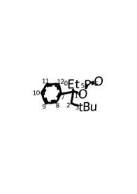 CCC(CC(C)(C)C)(OP=O)c1ccccc1